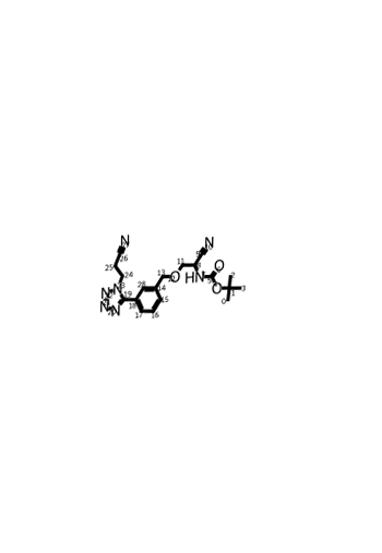 CC(C)(C)OC(=O)NC(C#N)COCc1cccc(-c2nnnn2CCC#N)c1